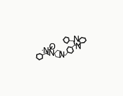 O=C1[N]C(c2ccccc2)=CN1C1CCN(Cc2ccc(-c3nc4ccccc4nc3-c3ccccc3)cc2)CC1